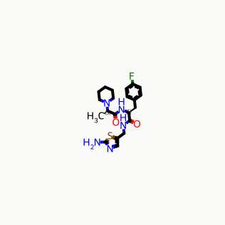 C[C@@H](C(=O)N[C@@H](Cc1ccc(F)cc1)C(=O)NCc1cnc(N)s1)N1CCCCC1